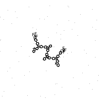 CC1(C)c2ccccc2-c2ccc(N(c3ccc(-c4ccc(OC(F)=C(F)F)cc4)cc3)c3ccc(-c4ccc5c(c4)c4cc(-c6ccc7c(c6)c6cc(-c8ccc(N(c9ccc(-c%10ccc(OC(F)=C(F)F)cc%10)cc9)c9ccc%10c(c9)C(C)(C)c9ccccc9-%10)cc8)ccc6n7-c6ccccc6)ccc4n5-c4ccccc4)cc3)cc21